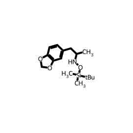 CC(Cc1ccc2c(c1)OCO2)NO[Si](C)(C)C(C)(C)C